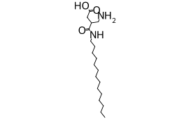 CCCCCCCCCCCCCCNC(=O)C(CN)CC(=O)O